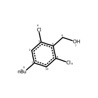 CCCCc1cc(Cl)c(CO)c(Cl)c1